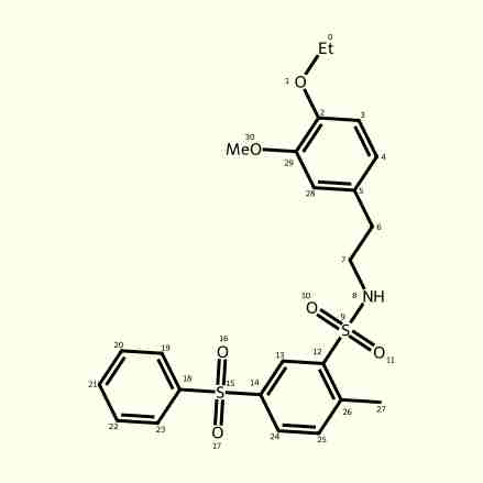 CCOc1ccc(CCNS(=O)(=O)c2cc(S(=O)(=O)c3ccccc3)ccc2C)cc1OC